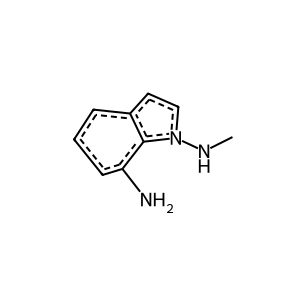 CNn1ccc2cccc(N)c21